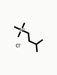 CC(C)CC[N+](C)(C)C.[Cl-]